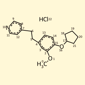 COc1cc(CCc2ccncc2)ccc1OC1CCCC1.Cl